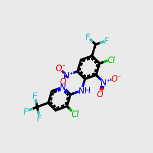 O=[N+]([O-])c1cc(C(F)F)c(Cl)c([N+](=O)[O-])c1Nc1ncc(C(F)(F)F)cc1Cl